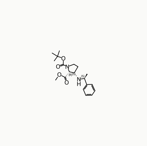 COC(=O)[C@H]1[C@@H](N[C@@H](C)c2ccccc2)CCN1C(=O)OC(C)(C)C